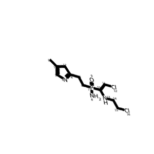 CC1=CN=C(CCP(N)(=O)C(CCl)NCCCl)C1